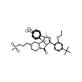 CCOc1cc(C(C)(C)C)ccc1C1=N[C@](C)(c2ccc(Cl)cc2)[C@@]2(c3ccc(Cl)cc3)C3CN(CCCS(C)(=O)=O)CCN3C(=O)N12